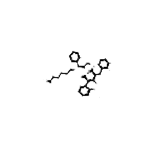 COc1cccc(-c2c(C)c(Cc3c(F)cccc3C(F)(F)F)c3n(c2=O)C(C(NCCCCCC(N)=O)c2ccccc2)CS3)c1F